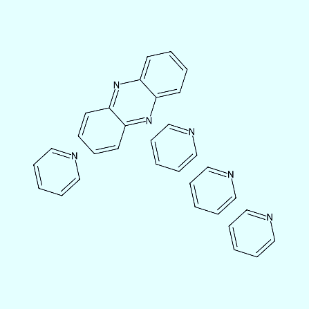 c1ccc2nc3ccccc3nc2c1.c1ccncc1.c1ccncc1.c1ccncc1.c1ccncc1